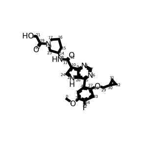 COc1cc(-c2ncnc3c(C(=O)N[C@@H]4CCCN(C(=O)CO)C4)c[nH]c23)c(OCC2CC2)cc1F